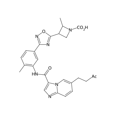 CC(=O)CCc1ccc2ncc(C(=O)Nc3cc(-c4noc(C5CN(C(=O)O)C5C)n4)ccc3C)n2c1